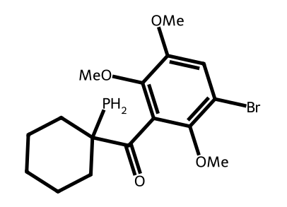 COc1cc(Br)c(OC)c(C(=O)C2(P)CCCCC2)c1OC